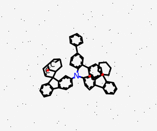 c1ccc(-c2ccc(N(c3ccc4c(c3)C3(CCCCC3)c3ccccc3-4)c3ccc4c(c3)C3(c5ccccc5-4)C4CCC5CC(C4)CC3C5)c(-c3ccccc3)c2)cc1